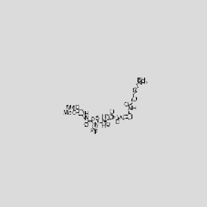 BNCCOCCOCCC(=O)NCc1cccc2c1CN(C(=O)C[C@@H]1C[C@@H](C(=O)NCC(=O)N3CC(F)(F)CC3C(=O)C(=O)NCc3ccc(OC)c(OC)c3)NC1=O)C2